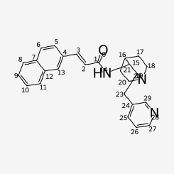 O=C(C=Cc1ccc2ccccc2c1)NC1C2CCN(CC2)C1Cc1cccnc1